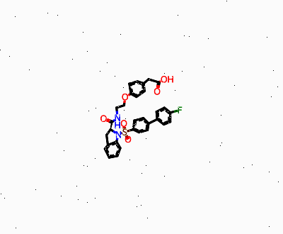 O=C(O)Cc1ccc(OCCNC(=O)[C@@H]2Cc3ccccc3N2S(=O)(=O)c2ccc(-c3ccc(F)cc3)cc2)cc1